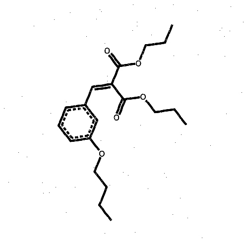 CCCCOc1cccc(C=C(C(=O)OCCC)C(=O)OCCC)c1